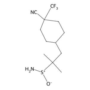 CC(C)(CC1CCC(C#N)(C(F)(F)F)CC1)[S+](N)[O-]